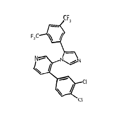 FC(F)(F)c1cc(-c2cncn2-c2cnccc2-c2ccc(Cl)c(Cl)c2)cc(C(F)(F)F)c1